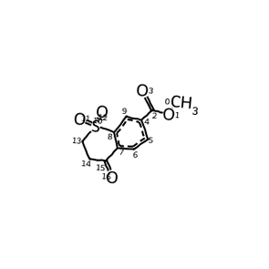 COC(=O)c1ccc2c(c1)S(=O)(=O)CCC2=O